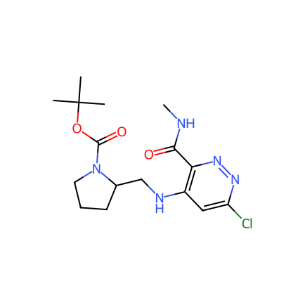 CNC(=O)c1nnc(Cl)cc1NCC1CCCN1C(=O)OC(C)(C)C